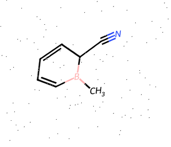 CB1C=CC=CC1C#N